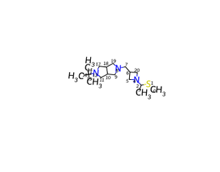 CSC(C)N1CC(CN2CC3CN(C(C)(C)C)CC3C2)C1